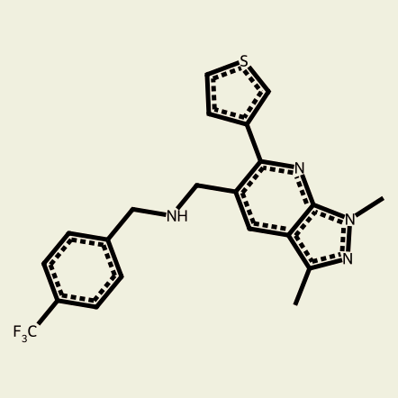 Cc1nn(C)c2nc(-c3ccsc3)c(CNCc3ccc(C(F)(F)F)cc3)cc12